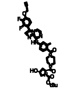 C#CCOc1ccc(-c2cnc3c(Nc4ccc(C(=O)N5CCN(C(=O)[C@@H]6C[C@@H](O)CN6C(=O)OC(C)(C)C)CC5)c(C)c4)nccn23)c(F)c1F